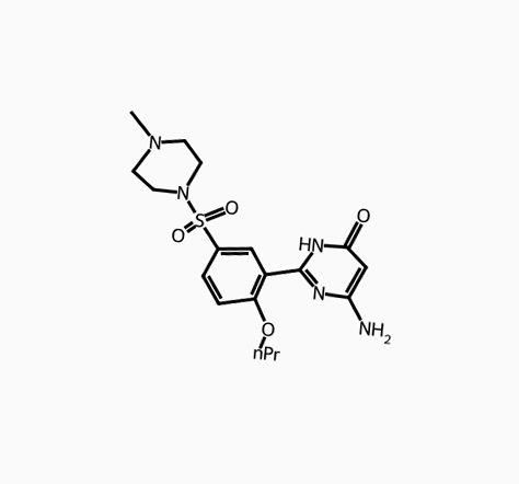 CCCOc1ccc(S(=O)(=O)N2CCN(C)CC2)cc1-c1nc(N)cc(=O)[nH]1